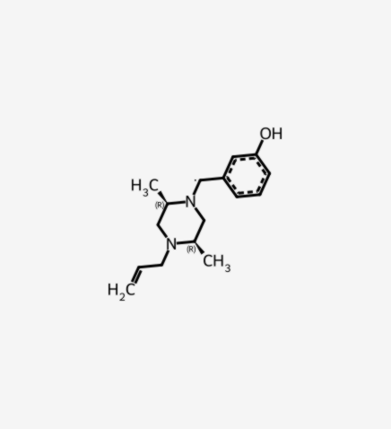 C=CCN1C[C@@H](C)N([CH]c2cccc(O)c2)C[C@H]1C